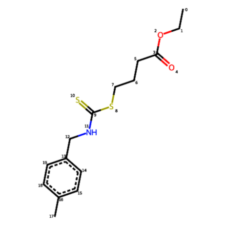 CCOC(=O)CCCSC(=S)NCc1ccc(C)cc1